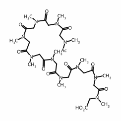 CC(=O)N(C)CC(=O)N(C)CC(=O)N(C)CC(=O)N(C)CC(=O)N(C)CC(=O)N(C)CC(=O)N(C)CC(=O)N(C)CC(=O)N(C)CC(=O)N(C)CC(=O)O